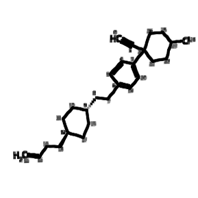 C#CC1(c2ccc(CC[C@H]3CC[C@H](CCC=C)CC3)cc2)CCC(Cl)CC1